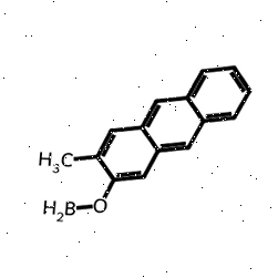 BOc1cc2cc3ccccc3cc2cc1C